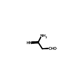 N=C(N)C[C]=O